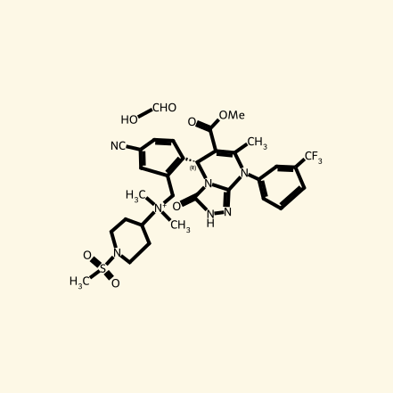 COC(=O)C1=C(C)N(c2cccc(C(F)(F)F)c2)c2n[nH]c(=O)n2[C@@H]1c1ccc(C#N)cc1C[N+](C)(C)C1CCN(S(C)(=O)=O)CC1.O=CO